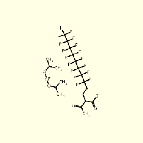 CC(=O)C(CCC(F)(F)C(F)(F)C(F)(F)C(F)(F)C(F)(F)C(F)(F)C(F)(F)C(F)(F)F)C(=O)[O-].CC(C)[O][Al+][O]C(C)C